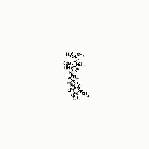 C=CC(=O)Nc1cc(N(C)CCN(C)CC)ccc1Nc1cc2cnc(-c3c(Cl)c(OC)cc(OC)c3Cl)cc2cn1